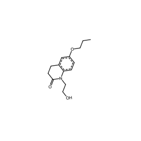 CCCOc1ccc2c(c1)CCC(=O)N2CCO